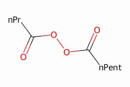 CCCCCC(=O)OOC(=O)CCC